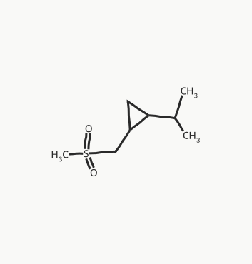 CC(C)C1CC1CS(C)(=O)=O